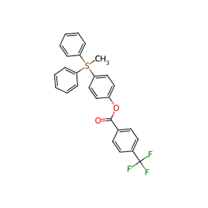 CS(c1ccccc1)(c1ccccc1)c1ccc(OC(=O)c2ccc(C(F)(F)F)cc2)cc1